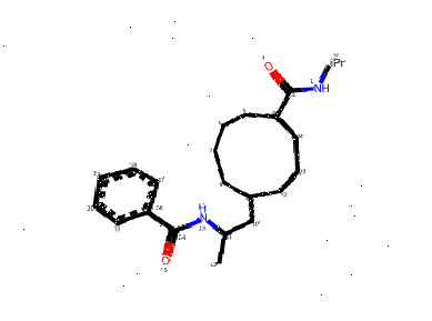 CC(C)NC(=O)C1CCCCC(CC(C)NC(=O)c2ccccc2)CCC1